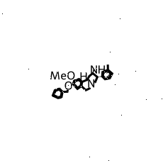 COc1cc2c(cc1OCc1ccccc1)CCN1C[C@@H](c3cccc(C)c3)[C@H](N)C[C@H]21